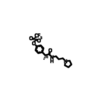 C[C@@H](C(=O)NCCCN1CCCC1)c1ccc(OS(=O)(=O)C(F)(F)F)cc1